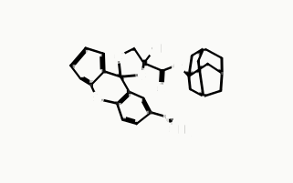 COc1ccc2c(c1)C1(OCC(C)(C(=O)OC34CC5CC(CC(C5)C3)C4)O1)c1ccccc1O2